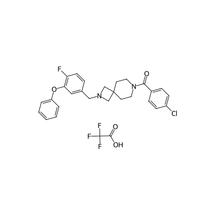 O=C(O)C(F)(F)F.O=C(c1ccc(Cl)cc1)N1CCC2(CC1)CN(Cc1ccc(F)c(Oc3ccccc3)c1)C2